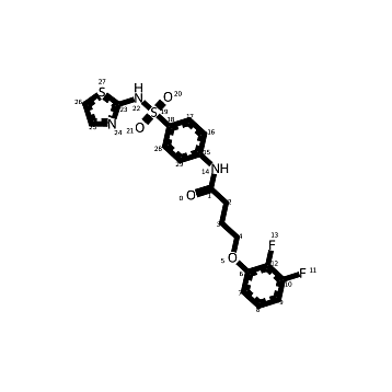 O=C(CCCOc1cccc(F)c1F)Nc1ccc(S(=O)(=O)Nc2nccs2)cc1